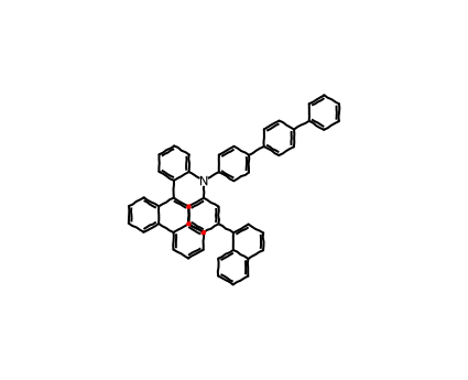 c1ccc(-c2ccc(-c3ccc(N(c4cccc(-c5cccc6ccccc56)c4)c4ccccc4-c4cc5ccccc5c5ccccc45)cc3)cc2)cc1